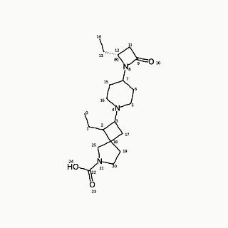 CCC1C(N2CCC(N3C(=O)C[C@H]3CC)CC2)CC12CCN(C(=O)O)C2